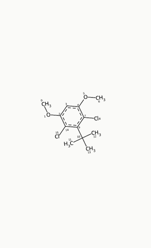 COc1cc(OC)c(Cl)c(C(C)(C)C)c1Cl